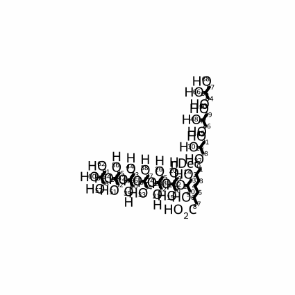 CCCCCCCCCCCCCCCCCC(=O)O.OCC(O)CO.OCC(O)CO.OCC(O)CO.OCC(O)CO.OCC(O)CO.OCC(O)CO.OCC(O)CO.OCC(O)CO.OCC(O)CO.OCC(O)CO